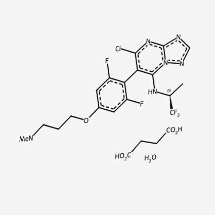 CNCCCOc1cc(F)c(-c2c(Cl)nc3ncnn3c2N[C@@H](C)C(F)(F)F)c(F)c1.O.O=C(O)CCC(=O)O